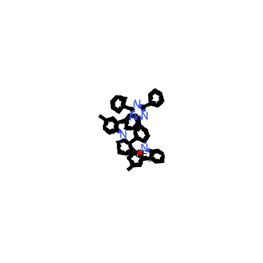 Cc1ccc2c(c1)c1ccccc1n2-c1ccc(-c2nc(-c3ccccc3)nc(-c3ccccc3)n2)cc1-c1c(-n2c3ccccc3c3cc(C)ccc32)cccc1C(F)(F)F